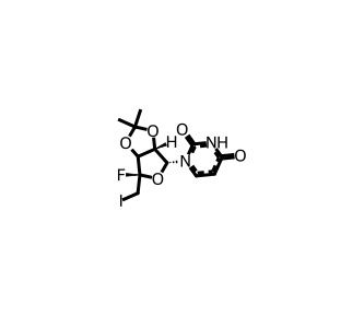 CC1(C)OC2[C@H](O1)[C@H](n1ccc(=O)[nH]c1=O)O[C@]2(F)CI